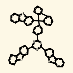 c1ccc2c(c1)-c1ccccc1C2(c1ccc(-c2nc(-c3ccc4c(c3)oc3ccccc34)nc(-c3ccc4c(c3)oc3ccccc34)n2)cc1)c1ccc2c(c1)oc1ccccc12